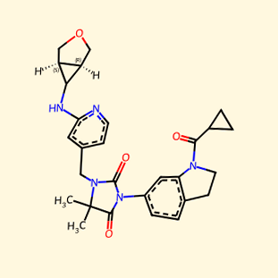 CC1(C)C(=O)N(c2ccc3c(c2)N(C(=O)C2CC2)CC3)C(=O)N1Cc1ccnc(NC2[C@H]3COC[C@@H]23)c1